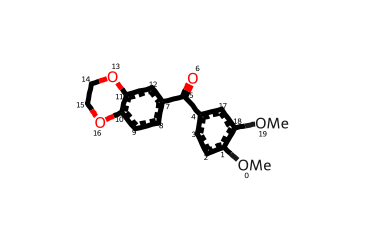 COc1ccc(C(=O)c2ccc3c(c2)OCCO3)cc1OC